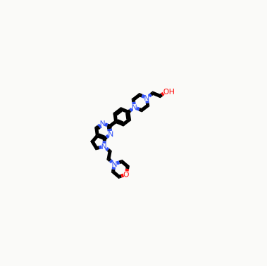 OCCN1CCN(c2ccc(-c3ncc4c(n3)N(CCN3CCOCC3)CC4)cc2)CC1